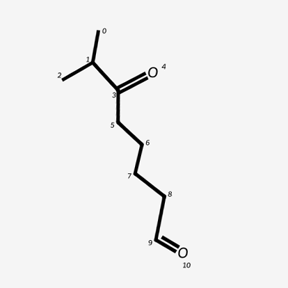 CC(C)C(=O)CCCCC=O